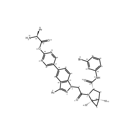 CC(=O)c1nn(CC(=O)N2[C@@H]3C[C@@H]3C[C@H]2C(=O)Nc2cccc(Br)n2)c2ccc(-c3cnc(OC(=O)[C@@H](N)C(C)C)nc3)cc12